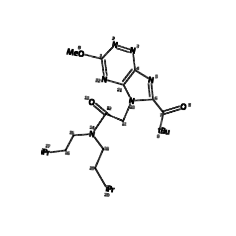 COc1nnc2nc(C(=O)C(C)(C)C)n(CC(=O)N(CCC(C)C)CCC(C)C)c2n1